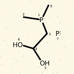 CP(C)CC(O)O.[P]